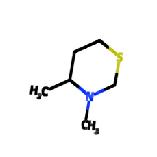 CC1CCSCN1C